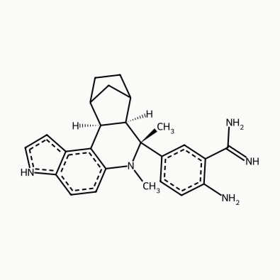 CN1c2ccc3[nH]ccc3c2[C@H]2C3CCC(C3)[C@H]2[C@]1(C)c1ccc(N)c(C(=N)N)c1